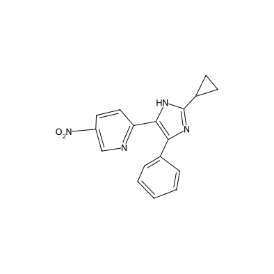 O=[N+]([O-])c1ccc(-c2[nH]c(C3CC3)nc2-c2ccccc2)nc1